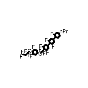 CCCc1ccc(-c2cc(F)c(-c3cc(F)c(C(F)(F)Oc4cc(F)c(OC(F)(F)C=C(F)F)c(F)c4)c(F)c3)c(F)c2)c(F)c1